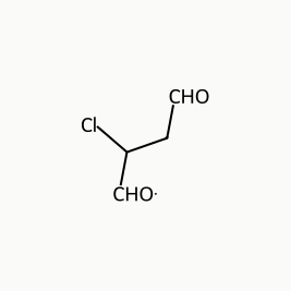 O=[C]C(Cl)CC=O